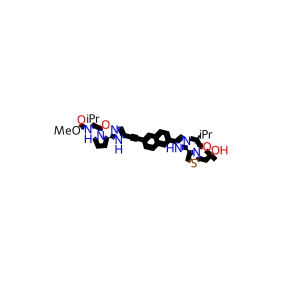 COC(=O)N[C@H](C(=O)N1CCC[C@H]1c1ncc(C#Cc2ccc3cc(-c4cnc([C@@H]5CSC(CC(C)(C)O)N5C(=O)[C@@H](C)C(C)C)[nH]4)ccc3c2)[nH]1)C(C)C